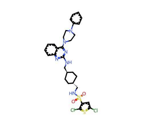 O=S(=O)(NC[C@H]1CC[C@H](CNc2nc(N3CCN(c4ccccc4)CC3)c3ccccc3n2)CC1)c1cc(Cl)sc1Cl